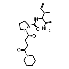 C=CC(C)C(NC(=O)[C@@H]1CCCN1C(=O)CCC(=O)N1CCCCC1)C(=C)N